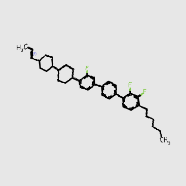 C/C=C/C1CCC(C2CCC(c3ccc(-c4ccc(-c5ccc(CCCCCC)c(F)c5F)cc4)cc3F)CC2)CC1